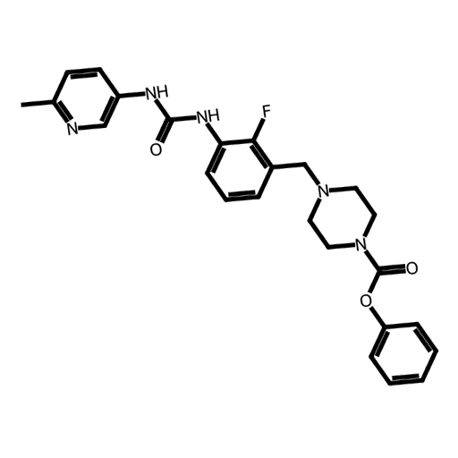 Cc1ccc(NC(=O)Nc2cccc(CN3CCN(C(=O)Oc4ccccc4)CC3)c2F)cn1